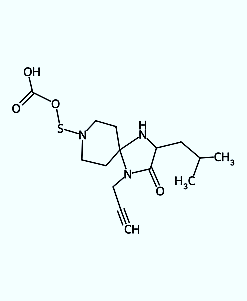 C#CCN1C(=O)C(CC(C)C)NC12CCN(SOC(=O)O)CC2